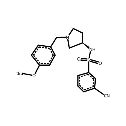 CC(C)(C)Oc1ccc(CN2CC[C@@H](NS(=O)(=O)c3cccc(C#N)c3)C2)cc1